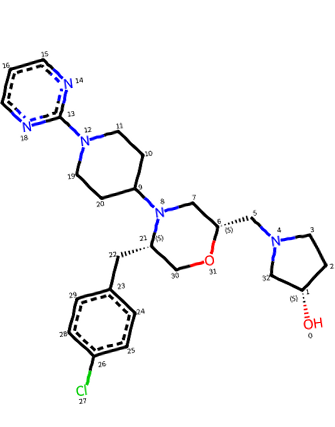 O[C@H]1CCN(C[C@H]2CN(C3CCN(c4ncccn4)CC3)[C@@H](Cc3ccc(Cl)cc3)CO2)C1